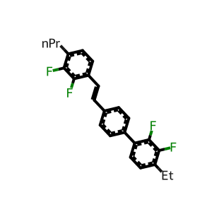 CCCc1ccc(/C=C/c2ccc(-c3ccc(CC)c(F)c3F)cc2)c(F)c1F